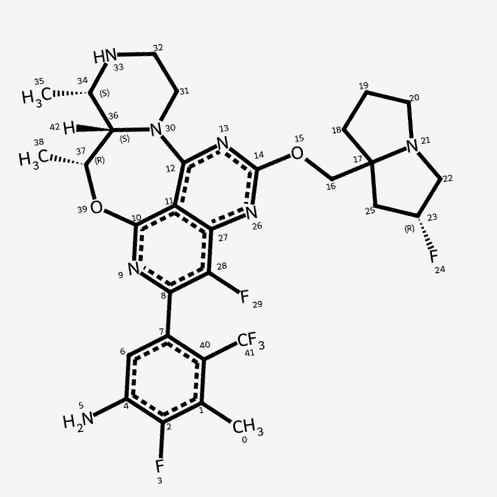 Cc1c(F)c(N)cc(-c2nc3c4c(nc(OCC56CCCN5C[C@H](F)C6)nc4c2F)N2CCN[C@@H](C)[C@H]2[C@@H](C)O3)c1C(F)(F)F